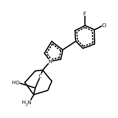 NC12CCC(n3ccc(-c4ccc(Cl)c(F)c4)c3)(CC1)CC2O